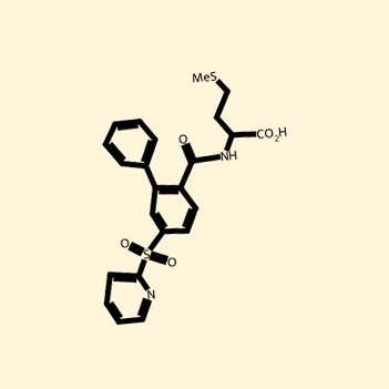 CSCCC(NC(=O)c1ccc(S(=O)(=O)c2ccccn2)cc1-c1ccccc1)C(=O)O